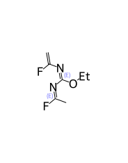 C=C(F)/N=C(\N=C(/C)F)OCC